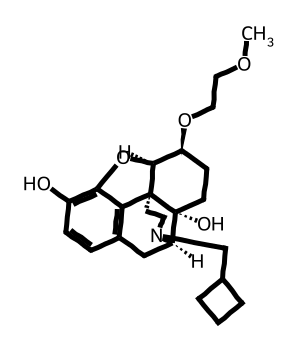 COCCO[C@H]1CC[C@@]2(O)[C@H]3Cc4ccc(O)c5c4[C@@]2(CCN3CC2CCC2)[C@H]1O5